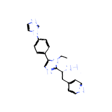 CCn1c(-c2ccc(-n3ccnc3)cc2)cnc1[C@@H](N)Cc1ccncc1